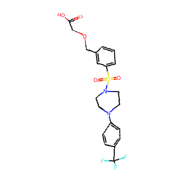 O=C(O)COCc1cccc(S(=O)(=O)N2CCN(c3ccc(C(F)(F)F)cc3)CC2)c1